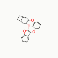 c1cc2c3c(c1)Oc1c(oc4ccccc14)B3c1cc3c(cc1O2)CC3